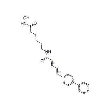 O=C(/C=C/C=C/c1ccc(-c2ccccc2)cc1)NCCCCCC(=O)NO